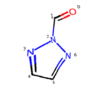 O=[C]n1nccn1